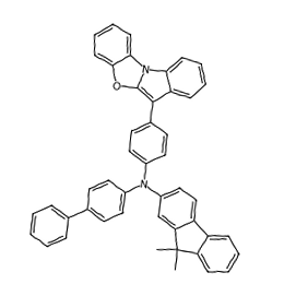 CC1(C)c2ccccc2-c2ccc(N(c3ccc(-c4ccccc4)cc3)c3ccc(-c4c5ccccc5n5c4oc4ccccc45)cc3)cc21